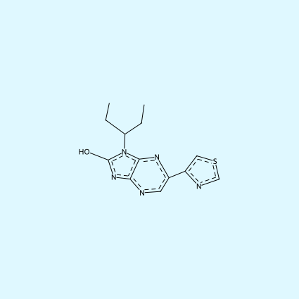 CCC(CC)n1c(O)nc2ncc(-c3cscn3)nc21